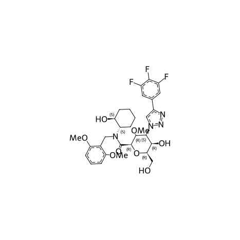 COc1cccc(OC)c1CN(C(=O)[C@@H]1O[C@H](CO)[C@H](O)[C@H](n2cc(-c3cc(F)c(F)c(F)c3)nn2)[C@H]1OC)[C@H]1CCCC[C@@H]1O